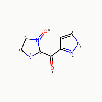 O=C(c1cc[nH]n1)C1NCC[N+]1=O